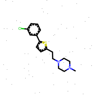 CN1CCN(CCc2ccc(-c3cccc(Cl)c3)s2)CC1